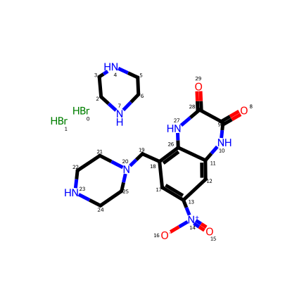 Br.Br.C1CNCCN1.O=c1[nH]c2cc([N+](=O)[O-])cc(CN3CCNCC3)c2[nH]c1=O